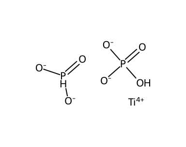 O=P([O-])([O-])O.O=[PH]([O-])[O-].[Ti+4]